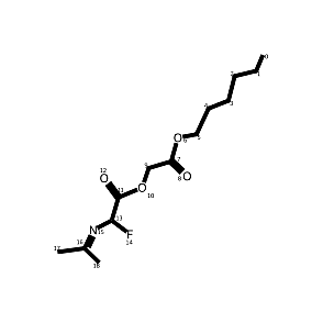 CCCCCCOC(=O)COC(=O)C(F)N=C(C)C